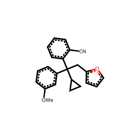 COc1cccc(C(Cc2ccco2)(c2cc[c]cc2C#N)C2CC2)c1